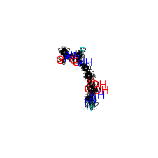 CC(=O)c1nn(CC(=O)N2C[C@H](F)C[C@H]2C(=O)NCC2CCC(c3ccc(OC[C@H]4OC[C@H](Nc5ccnc(C(F)(F)F)n5)[C@@H](O)[C@H]4O)cc3)C2)c2ccccc12